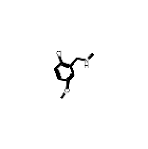 CNCc1cc(OC)ccc1Cl